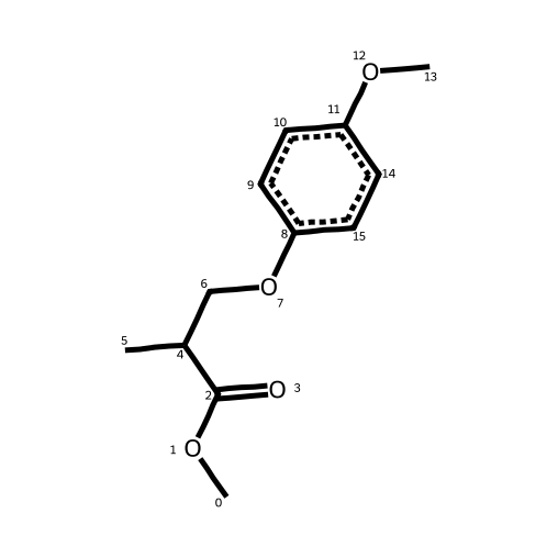 COC(=O)C(C)COc1ccc(OC)cc1